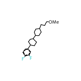 COCCCC1CCC(C2CCC(c3ccc(F)c(F)c3)CC2)CC1